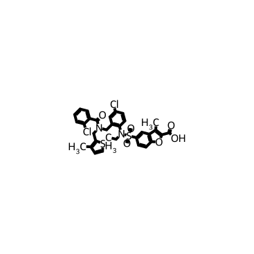 CCN(c1ccc(Cl)cc1CN(Cc1sccc1C)C(=O)c1ccccc1Cl)S(=O)(=O)c1ccc2oc(C(=O)O)c(C)c2c1